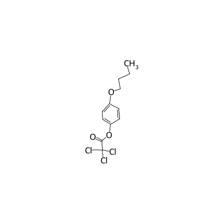 CCCCOc1ccc(OC(=O)C(Cl)(Cl)Cl)cc1